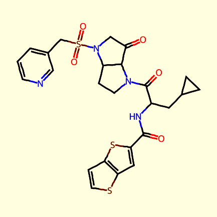 O=C(NC(CC1CC1)C(=O)N1CCC2C1C(=O)CN2S(=O)(=O)Cc1cccnc1)c1cc2sccc2s1